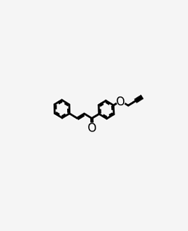 C#CCOc1ccc(C(=O)C=Cc2ccccc2)cc1